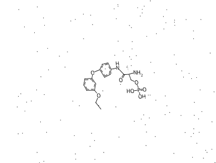 CCOc1cccc(Oc2ccc(NC(=O)[C@@](C)(N)COP(=O)(O)O)cc2)c1